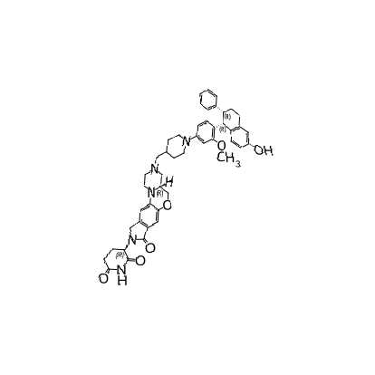 COc1cc(N2CCC(CN3CCN4c5cc6c(cc5OC[C@H]4C3)C(=O)N([C@@H]3CCC(=O)NC3=O)C6)CC2)ccc1[C@H]1c2ccc(O)cc2CC[C@H]1c1ccccc1